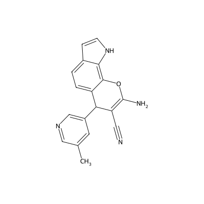 Cc1cncc(C2C(C#N)=C(N)Oc3c2ccc2cc[nH]c32)c1